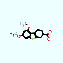 COc1cc(OC)c2c3c(sc2c1)CC(C(=O)O)CC3